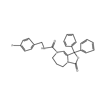 O=C(NCc1ccc(F)cc1)N1C=C2N(CCC1)C(=O)OC2(c1ccccc1)c1ccccc1